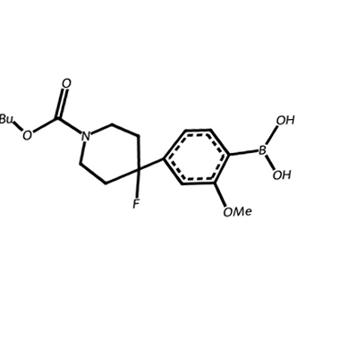 COc1cc(C2(F)CCN(C(=O)OC(C)(C)C)CC2)ccc1B(O)O